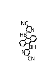 N#Cc1cncc(Bc2c3ccccc3c(Bc3cncc(C#N)c3)c3ccccc23)c1